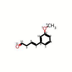 COc1cccc(C=CC[C]=O)c1